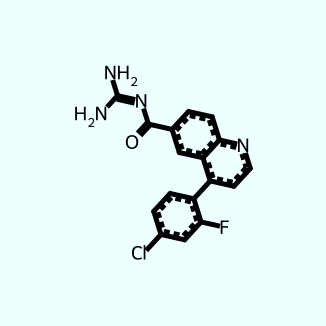 NC(N)=NC(=O)c1ccc2nccc(-c3ccc(Cl)cc3F)c2c1